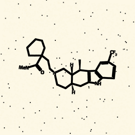 CNC(=O)C1(CCN2CC[C@@H]3Cc4[nH]c5ccc(C(F)(F)F)cc5c4[C@H](C)[C@H]3C2)CCCCC1